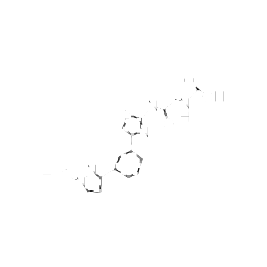 Cn1ccc(-c2cccc(-c3csc(NC(=O)CNC(=O)O)n3)c2)n1